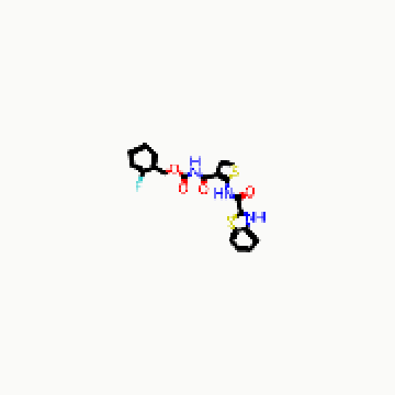 O=C(NC(=O)c1ccsc1NC(=O)C1Nc2ccccc2S1)OCc1ccccc1F